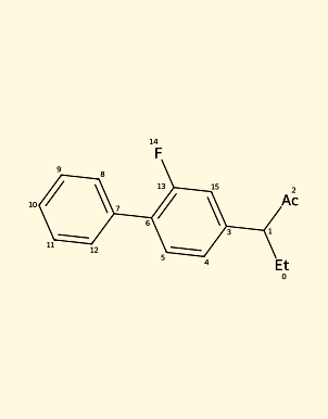 CCC(C(C)=O)c1ccc(-c2ccccc2)c(F)c1